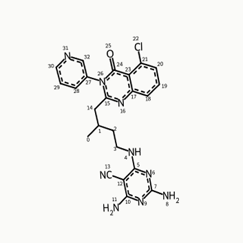 CC(CCNc1nc(N)nc(N)c1C#N)Cc1nc2cccc(Cl)c2c(=O)n1-c1cccnc1